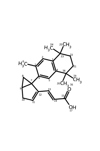 Cc1cc2c(cc1C13CC1CC=C3C=CC(=O)O)C(C)(C)CCC2(C)C